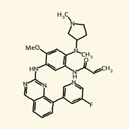 C=CC(=O)Nc1cc(Nc2ncc3cccc(-c4cncc(F)c4)c3n2)c(OC)cc1N(C)C1CCN(C)C1